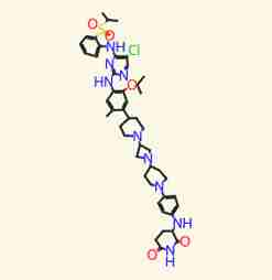 Cc1cc(Nc2ncc(Cl)c(Nc3ccccc3S(=O)(=O)C(C)C)n2)c(OC(C)C)cc1C1CCN(C2CN(C3CCN(c4ccc(NC5CCC(=O)NC5=O)cc4)CC3)C2)CC1